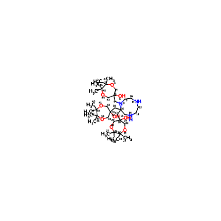 CC1(C)OCC(O)(CN2CCNCCNCC2(CC2(O)COC(C)(C)C(C)(C)OC2)CC2(O)COC(C)(C)C(C)(C)OC2)COC1(C)C